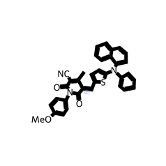 COc1ccc(N2C(=O)C(C#N)=C(C)/C(=C\c3ccc(N(c4ccccc4)c4cccc5ccccc45)s3)C2=O)cc1